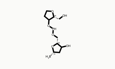 B[C@H]1CC(O)[C@@H](COPOC2CCO[C@@H]2CO)O1